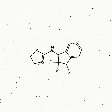 FC1c2ccccc2C(NC2=NCCS2)C1(F)F